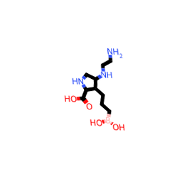 NCCNC1CNC(C(=O)O)C1CCCB(O)O